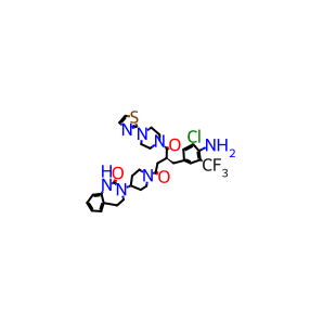 Nc1c(Cl)cc(C[C@@H](CC(=O)N2CCC(N3CCc4ccccc4NC3=O)CC2)C(=O)N2CCN(c3nccs3)CC2)cc1C(F)(F)F